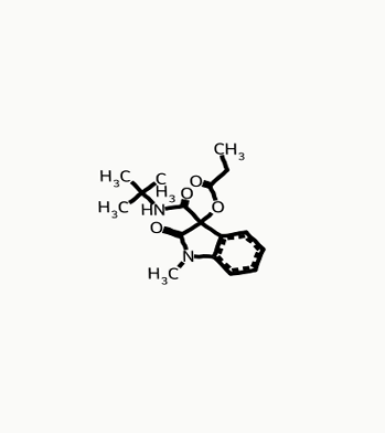 CCC(=O)OC1(C(=O)NC(C)(C)C)C(=O)N(C)c2ccccc21